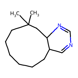 CC1(C)CCCCCCC2C=NC=NC2C1